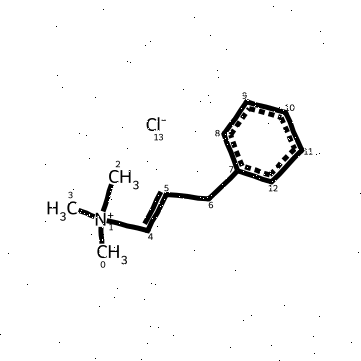 C[N+](C)(C)C=CCc1ccccc1.[Cl-]